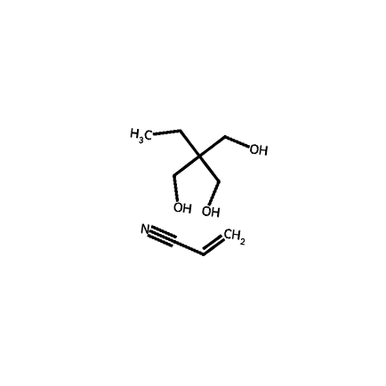 C=CC#N.CCC(CO)(CO)CO